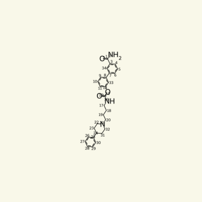 NC(=O)c1cccc(-c2cccc(OC(=O)NCCCCN3CCC(c4ccccc4)CC3)c2)c1